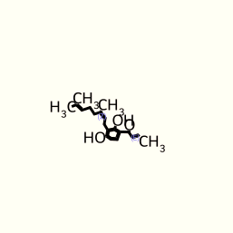 C/C=C/C(=O)c1ccc(O)c(C/C=C(/C)CCC=C(C)C)c1O